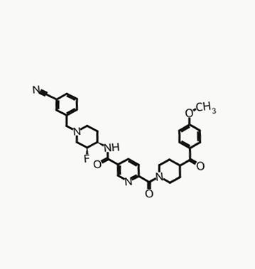 COc1ccc(C(=O)C2CCN(C(=O)c3ccc(C(=O)N[C@@H]4CCN(Cc5cccc(C#N)c5)C[C@@H]4F)cn3)CC2)cc1